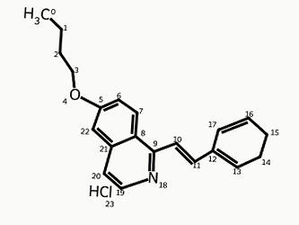 CCCCOc1ccc2c(C=CC3=CCCC=C3)nccc2c1.Cl